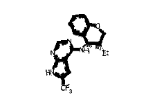 CC[C@H]1COc2ccccc2[C@@H]1Nc1ncnc2[nH]c(C(F)(F)F)cc12